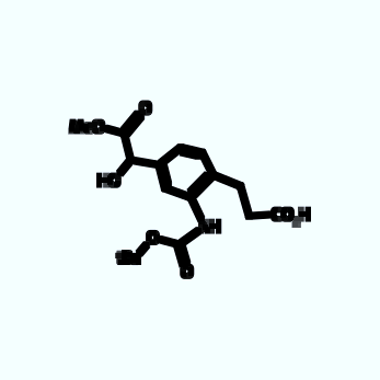 COC(=O)C(O)c1ccc(CCC(=O)O)c(NC(=O)OC(C)(C)C)c1